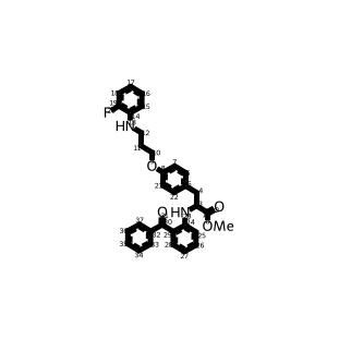 COC(=O)C(Cc1ccc(OCCCNc2ccccc2F)cc1)Nc1ccccc1C(=O)c1ccccc1